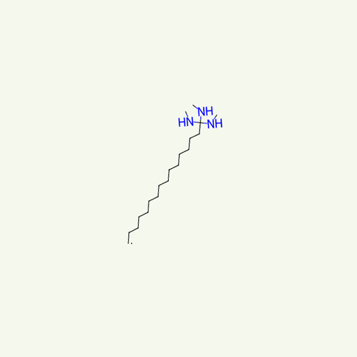 [CH2]CCCCCCCCCCCCCCC(NC)(NC)NC